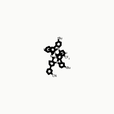 CC(C)(C)c1ccc2c(c1)c1cc(C(C)(C)C)ccc1n2-c1ccc(C(F)(F)F)cc1-c1nc(-c2ccccc2)nc(-c2ccc(-c3cccc(C#N)c3)cc2-n2c3ccc(C(C)(C)C)cc3c3cc(C(C)(C)C)ccc32)n1